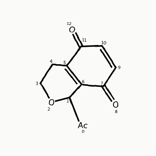 CC(=O)C1OCCC2=C1C(=O)C=CC2=O